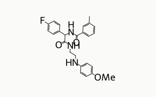 COc1ccc(NCCNC(=O)C(NC(=O)c2cccc(C)c2)c2ccc(F)cc2)cc1